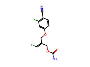 N#Cc1ccc(OC/C(=C\F)COC(N)=O)cc1F